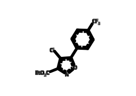 CCOC(=O)c1noc(-c2ccc(C(F)(F)F)cc2)c1Cl